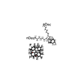 CCCCCCCCCCCCCCCCCC[NH+](CCCCCCCCCCCCCCCCCC)c1c(C)cc(C)cc1C.Fc1c(F)c(F)c([B-](c2c(F)c(F)c(F)c(F)c2F)(c2c(F)c(F)c(F)c(F)c2F)c2c(F)c(F)c(F)c(F)c2F)c(F)c1F